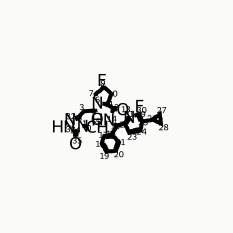 Cn1c(CC(=O)N2CC(F)CC2C(=O)NC(c2ccccc2)c2ccc(C3CC3)c(F)n2)n[nH]c1=O